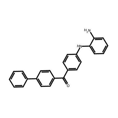 Nc1ccccc1Nc1ccc(C(=O)c2ccc(-c3ccccc3)cc2)cc1